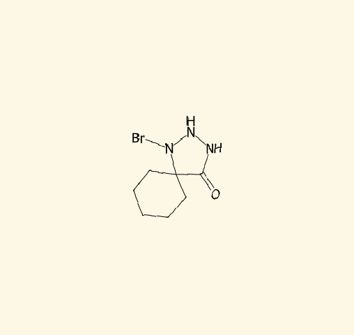 O=C1NNN(Br)C12CCCCC2